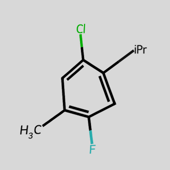 Cc1cc(Cl)c(C(C)C)cc1F